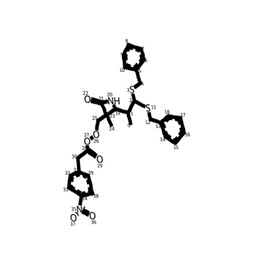 CC(C(SCc1ccccc1)SCc1ccccc1)C1NC(=O)C1(C)COOC(=O)Cc1ccc([N+](=O)[O-])cc1